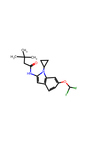 CC(C)(C)CC(=O)Nc1cc2ccc(OC(F)F)cc2n1C1CC1